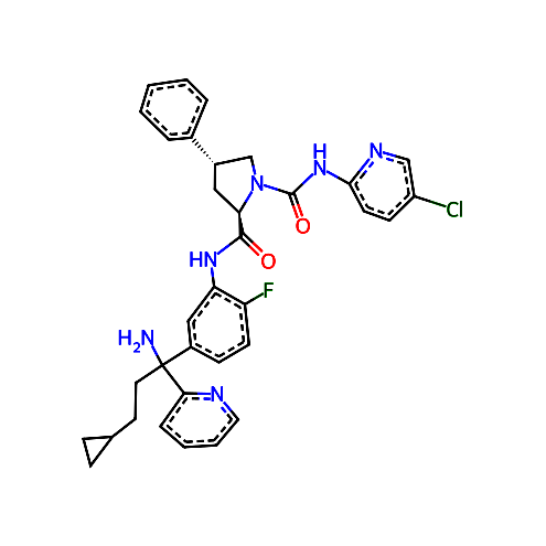 NC(CCC1CC1)(c1ccc(F)c(NC(=O)[C@H]2C[C@H](c3ccccc3)CN2C(=O)Nc2ccc(Cl)cn2)c1)c1ccccn1